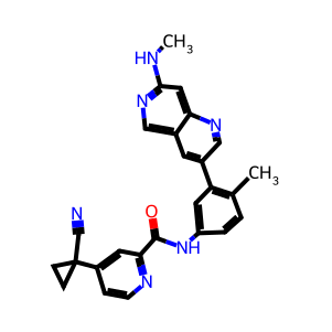 CNc1cc2ncc(-c3cc(NC(=O)c4cc(C5(C#N)CC5)ccn4)ccc3C)cc2cn1